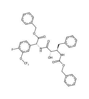 O=C(N[C@H](Cc1ccccc1)[C@H](O)C(=O)N[C@@H](C(=O)OCc1ccccc1)c1ccc(F)c(OC(F)(F)F)c1)OCc1ccccc1